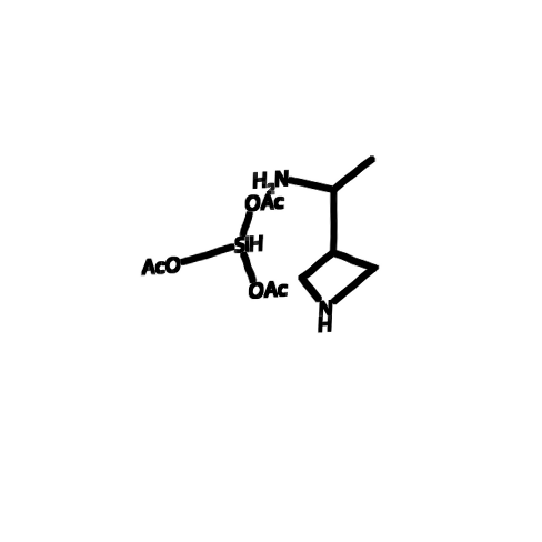 CC(=O)O[SiH](OC(C)=O)OC(C)=O.CC(N)C1CNC1